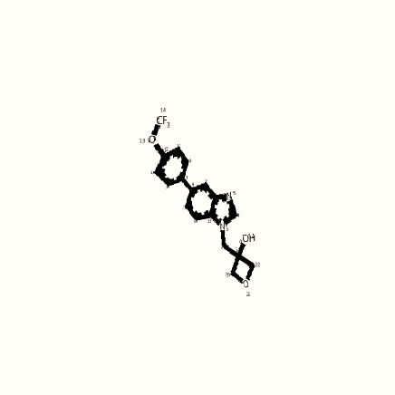 OC1(Cn2cnc3cc(-c4ccc(OC(F)(F)F)cc4)ccc32)COC1